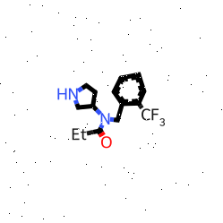 CCC(=O)N(Cc1ccccc1C(F)(F)F)C1CCNC1